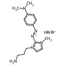 Br.CN(C)c1ccc(/N=N/c2n(C)cc[n+]2CCCN)cc1.[Br-]